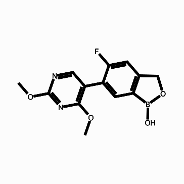 COc1ncc(-c2cc3c(cc2F)COB3O)c(OC)n1